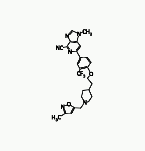 Cc1cc(CN2CCC(CCOc3ccc(-c4cc5c(ncn5C)c(C#N)n4)cc3C(F)(F)F)CC2)on1